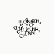 COc1ccc(-c2nn(C(c3cc4scc(Cl)n4c(=O)c3-c3ccccc3)C3CC3)c3ncnc(N)c23)cc1NS(C)(=O)=O